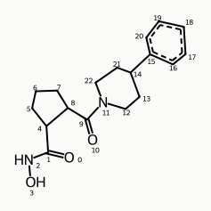 O=C(NO)C1CCCC1C(=O)N1CCC(c2ccccc2)CC1